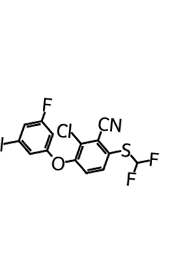 N#Cc1c(SC(F)F)ccc(Oc2cc(F)cc(Cl)c2)c1Cl